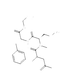 C=C(C)CC(C)C(=O)N(C)[C@H](COCCCC)C(=O)N[C@H](Cc1ccccc1)C(=O)NCC(=O)O